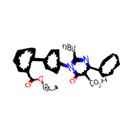 CCCCc1nc(-c2ccccc2)c(C(=O)O)c(=O)n1-c1ccc(-c2ccccc2C(=O)OC(C)(C)C)cc1